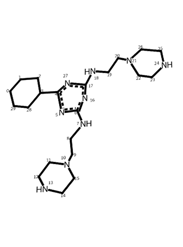 C1CCC(c2nc(NCCN3CCNCC3)nc(NCCN3CCNCC3)n2)CC1